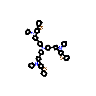 c1ccc(-n2c3ccc(-c4ccc(N(c5ccc(-c6ccc7c(c6)c6cc8sc9ccccc9c8cc6n7-c6ccccc6)cc5)c5ccc(-c6ccc7c(c6)c6cc8sc9ccccc9c8cc6n7-c6ccccc6)cc5)cc4)cc3c3cc4sc5ccccc5c4cc32)cc1